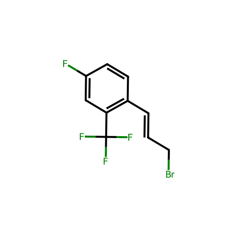 Fc1ccc(C=CCBr)c(C(F)(F)F)c1